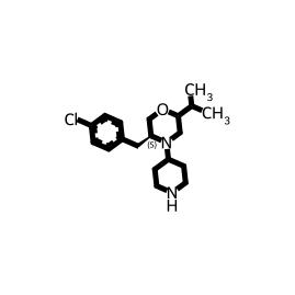 CC(C)C1CN(C2CCNCC2)[C@@H](Cc2ccc(Cl)cc2)CO1